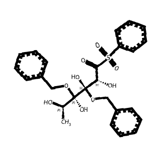 C[C@@H](O)[C@@](O)(OCc1ccccc1)[C@@](O)(OCc1ccccc1)[C@@H](O)C(=O)S(=O)(=O)c1ccccc1